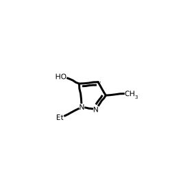 CCn1nc(C)[c]c1O